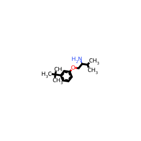 CC(C)[C@H](N)COc1cccc(C(C)(C)C)c1